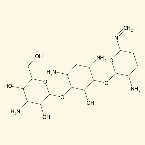 C=NC1CCC(N)C(OC2C(N)CC(N)C(OC3OC(CO)C(O)C(N)C3O)C2O)O1